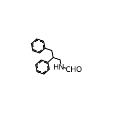 O=CNCC(Cc1ccccc1)c1ccccc1